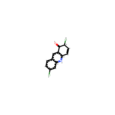 O=C1c2cc3ccc(Cl)cc3nc2C=CC1Cl